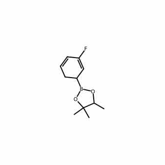 CC1OB(C2C=C(F)C=CC2)OC1(C)C